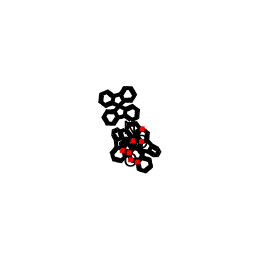 c1ccc2c(c1)Oc1ccccc1C21c2ccccc2-c2ccc(N(c3cccc4c3-c3ccccc3C43c4ccccc4-c4ccccc43)c3cccc4c3C3(c5ccccc5Oc5ccccc53)c3ccccc3-4)cc21